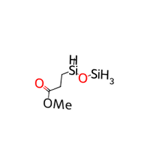 COC(=O)CC[SiH](C)O[SiH3]